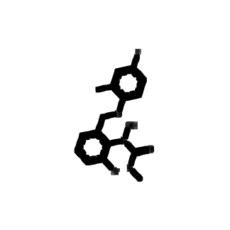 CSC(=O)N(O)c1c(Br)cccc1COc1ccc(F)cc1C